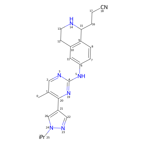 Cc1cnc(Nc2ccc3c(c2)CCNC3CCC#N)nc1-c1cnn(C(C)C)c1